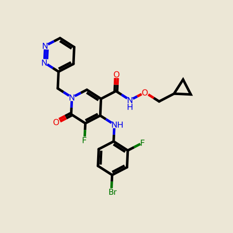 O=C(NOCC1CC1)c1cn(Cc2cccnn2)c(=O)c(F)c1Nc1ccc(Br)cc1F